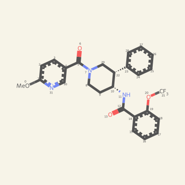 COc1ccc(C(=O)N2CC[C@@H](NC(=O)c3ccccc3OC(F)(F)F)[C@@H](c3ccccc3)C2)cn1